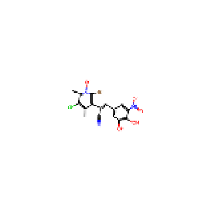 Cc1c(Cl)c(C)[n+]([O-])c(Br)c1C(C#N)=Cc1cc(O)c(O)c([N+](=O)[O-])c1